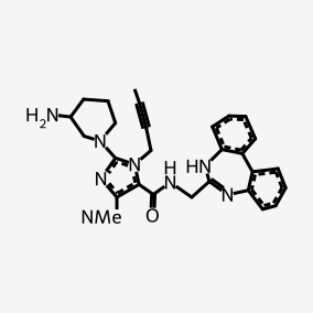 CC#CCn1c(N2CCCC(N)C2)nc(NC)c1C(=O)NCC1=Nc2ccccc2-c2ccccc2N1